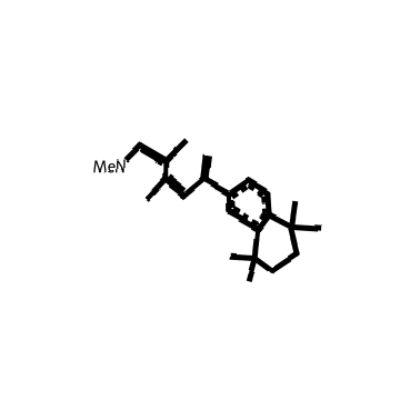 C=C(/C=C(C)\C(C)=C/NC)c1ccc2c(c1)C(C)(C)CCC2(C)C